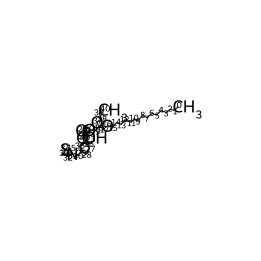 CCCCCCCCCCCCCCCCOCC(COP(=O)(O)Oc1cccc(C[n+]2ccsc2)c1)OCCC